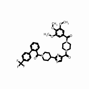 COc1cc(C(=O)N2CCN(C(=O)c3csc(C4CCN(C(=O)c5ccccc5-c5ccc(C(F)(F)F)cc5)CC4)n3)CC2)cc(OC)c1OC